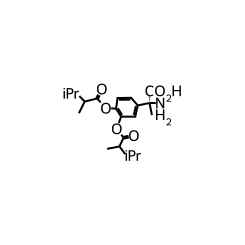 CC(C)C(C)C(=O)Oc1ccc([C@](C)(N)C(=O)O)cc1OC(=O)C(C)C(C)C